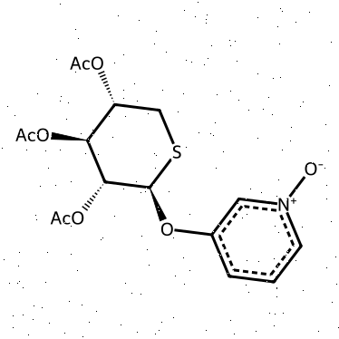 CC(=O)O[C@@H]1[C@@H](OC(C)=O)[C@H](OC(C)=O)CS[C@H]1Oc1ccc[n+]([O-])c1